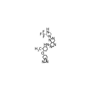 Cc1cc(Nc2ncnc3cnc(N4CCN[C@H](C(F)(F)F)C4)nc23)ccc1Oc1ccn2ncnc2c1